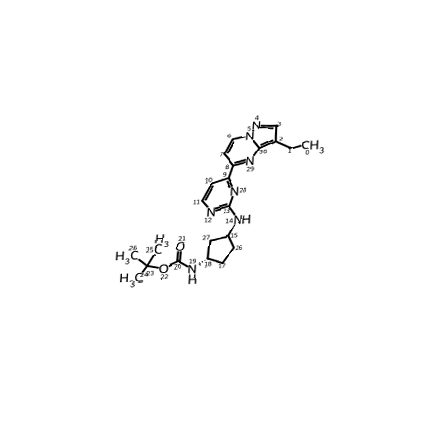 CCc1cnn2ccc(-c3ccnc(NC4CC[C@H](NC(=O)OC(C)(C)C)C4)n3)nc12